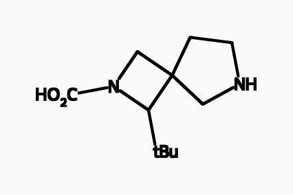 CC(C)(C)C1N(C(=O)O)CC12CCNC2